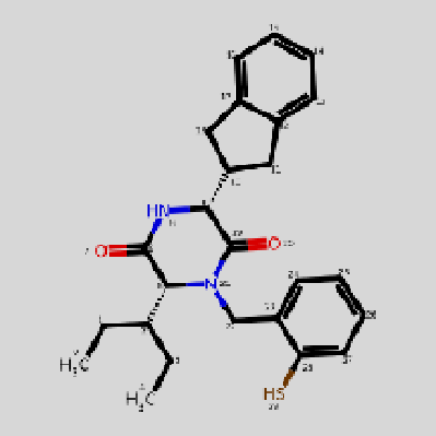 CCC(CC)[C@@H]1C(=O)N[C@H](C2Cc3ccccc3C2)C(=O)N1Cc1ccccc1S